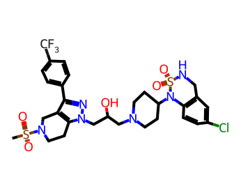 CS(=O)(=O)N1CCc2c(c(-c3ccc(C(F)(F)F)cc3)nn2CC(O)CN2CCC(N3c4ccc(Cl)cc4CNS3(=O)=O)CC2)C1